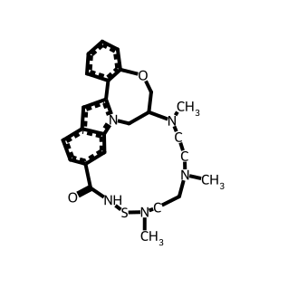 CN1CCN(C)SNC(=O)c2ccc3cc4n(c3c2)CC(COc2ccccc2-4)N(C)CC1